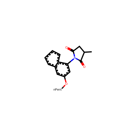 CCCCCOc1cc(N2C(=O)CC(C)C2=O)c2ccccc2c1